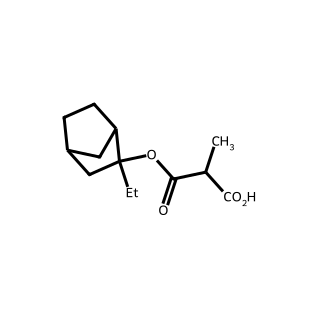 CCC1(OC(=O)C(C)C(=O)O)CC2CCC1C2